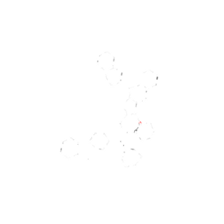 CC1(C)c2ccccc2-c2ccc(N(c3ccc4c(c3)oc3c(-c5ccc6ccccc6c5)c5ccccc5cc34)c3ccccc3-c3ccccc3)cc21